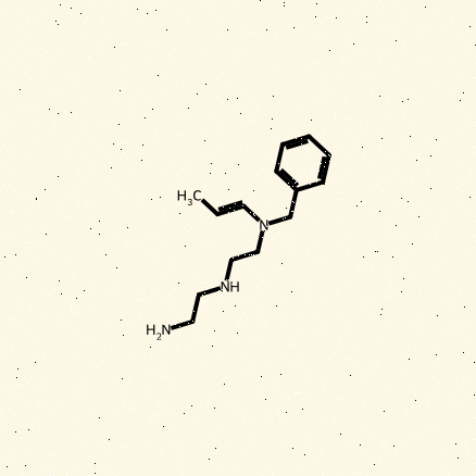 CC=CN(CCNCCN)Cc1ccccc1